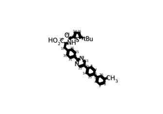 Cc1cccc(-c2ccc(-c3cnc(-c4ccc(C[C@H](NC(=O)c5ccc(C(C)(C)C)s5)C(=O)O)cc4)nc3)cc2)c1